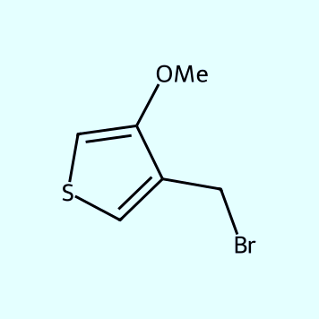 COc1cscc1CBr